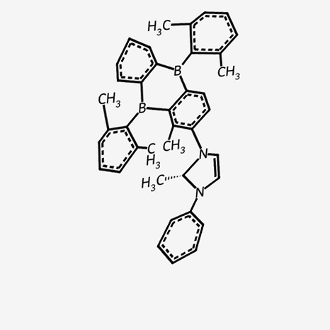 Cc1cccc(C)c1B1c2ccccc2B(c2c(C)cccc2C)c2c1ccc(N1C=CN(c3ccccc3)[C@@H]1C)c2C